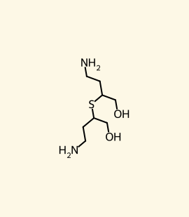 NCCC(CO)SC(CO)CCN